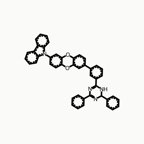 c1ccc(C2=NC(c3ccccc3)NC(c3cccc(-c4ccc5c(c4)Oc4ccc(-n6c7ccccc7c7ccccc76)cc4O5)c3)=N2)cc1